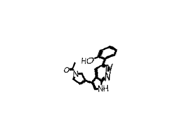 CC(=O)N1CCC(c2c[nH]c3nnc(-c4ccccc4O)cc23)C1